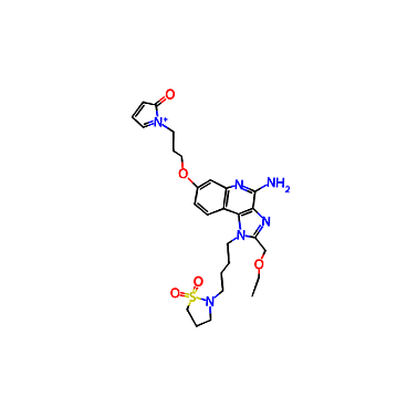 CCOCc1nc2c(N)nc3cc(OCCC[N+]4=CC=CC4=O)ccc3c2n1CCCCN1CCCS1(=O)=O